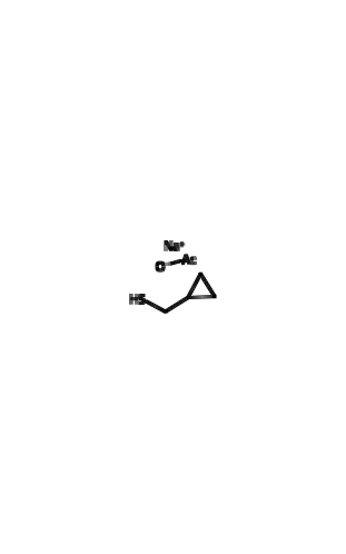 CC(=O)[O-].SCC1CC1.[Na+]